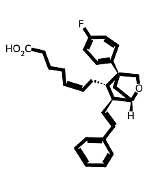 O=C(O)CCC/C=C\C[C@H]1[C@H](C=Cc2ccccc2)[C@@H]2C[C@@]1(c1ccc(F)cc1)CO2